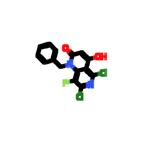 O=c1cc(O)c2c(Cl)nc(Cl)c(F)c2n1Cc1ccccc1